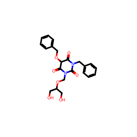 O=C1C(OCc2ccccc2)C(=O)N(Cc2ccccc2)C(=O)N1COC(CO)CO